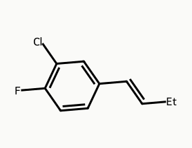 CC/C=C/c1ccc(F)c(Cl)c1